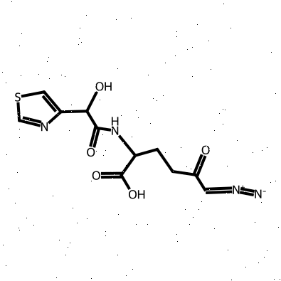 [N-]=[N+]=CC(=O)CCC(NC(=O)C(O)c1cscn1)C(=O)O